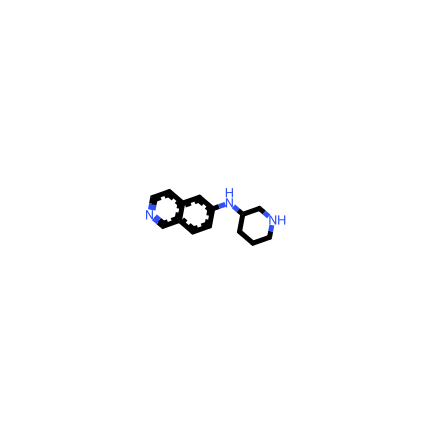 c1cc2cc(NC3CCCNC3)ccc2cn1